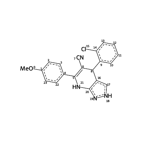 COc1ccc(C2=C(C#N)C(c3ccccc3Cl)c3c[nH]nc3N2)cc1